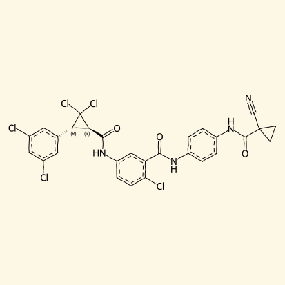 N#CC1(C(=O)Nc2ccc(NC(=O)c3cc(NC(=O)[C@H]4[C@H](c5cc(Cl)cc(Cl)c5)C4(Cl)Cl)ccc3Cl)cc2)CC1